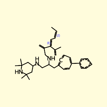 C=C(C)/C(=C\C=C/C)C(=C)CNC(CNC1CC(C)(C)NC(C)(C)C1)CC1=C=CC=C(c2ccccc2)C=C1